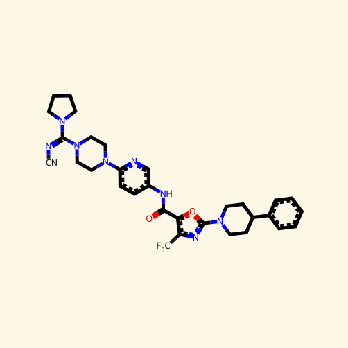 N#C/N=C(/N1CCCC1)N1CCN(c2ccc(NC(=O)c3oc(N4CCC(c5ccccc5)CC4)nc3C(F)(F)F)cn2)CC1